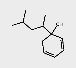 CC(C)CC(C)C1(O)C=CC=CC1